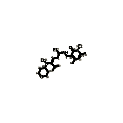 C=C(C)/C(=C\CC(CC)NCc1c(C)cc(C)n(CC)c1=O)N(CC)C1CCOCC1